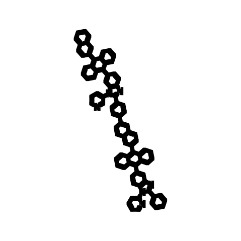 c1ccc(-c2nc3cc(-c4c5ccccc5c(-c5ccc6cc(-c7ccc(-c8nc9ccc(-c%10c%11ccccc%11c(-c%11ccc%12ccccc%12c%11)c%11ccccc%10%11)cc9n8-c8cccnc8)cc7)ccc6c5)c5ccccc45)ccc3n2-c2ccccn2)cc1